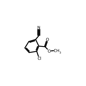 COC(=O)c1c(Cl)cccc1C#N